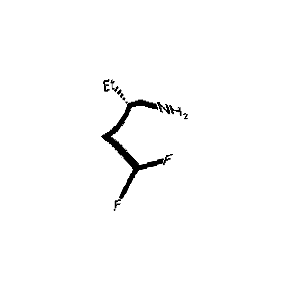 CC[C@H](N)CC(F)F